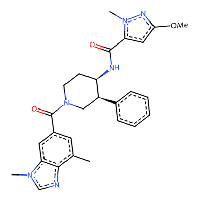 COc1cc(C(=O)N[C@@H]2CCN(C(=O)c3cc(C)c4ncn(C)c4c3)C[C@@H]2c2ccccc2)n(C)n1